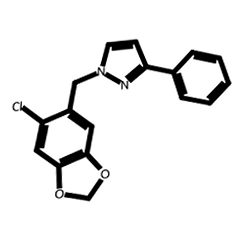 Clc1cc2c(cc1Cn1ccc(-c3ccccc3)n1)OCO2